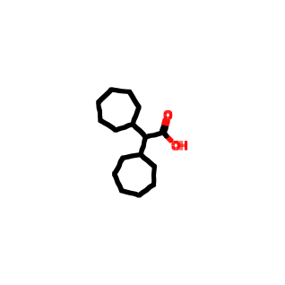 O=C(O)C(C1CCCCCC1)C1CCCCCC1